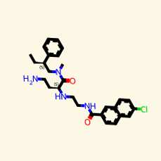 CC[C@H](CN(C)C(=O)[C@H](CCN)NCCNC(=O)c1ccc2cc(Cl)ccc2c1)c1ccccc1